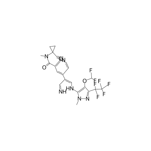 CN(C(=O)c1cc(/C(C=N)=C/Nc2c(OC(F)F)c(C(F)(F)C(F)(F)F)nn2C)ccc1Cl)C1(C#N)CC1